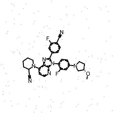 CO[C@H]1CCN(c2ccc(-n3c(-c4ccc(C#N)c(F)c4)nc4c(N5CCCCC5C#N)ccnc43)c(F)c2)C1